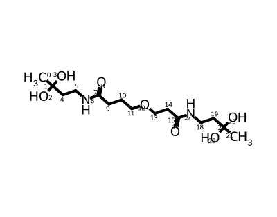 CC(O)(O)CCNC(=O)CCCOCCC(=O)NCCC(C)(O)O